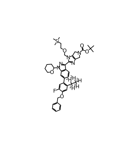 [2H]C([2H])([2H])C([2H])([2H])c1cc(OCc2ccccc2)c(F)cc1-c1ccc2c(-c3nc4c(n3COCC[Si](C)(C)C)CN(C(=O)OC(C)(C)C)C4)nn(C3CCCCO3)c2c1